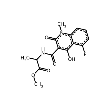 COC(=O)C(C)NC(=O)c1c(O)c2c(F)cccc2n(C)c1=O